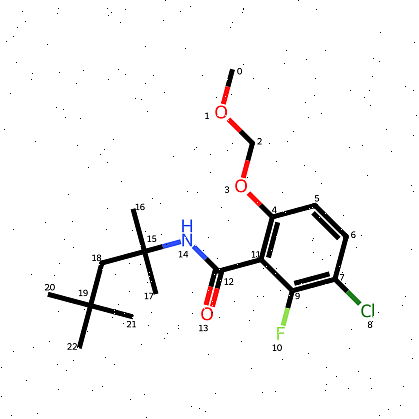 COCOc1ccc(Cl)c(F)c1C(=O)NC(C)(C)CC(C)(C)C